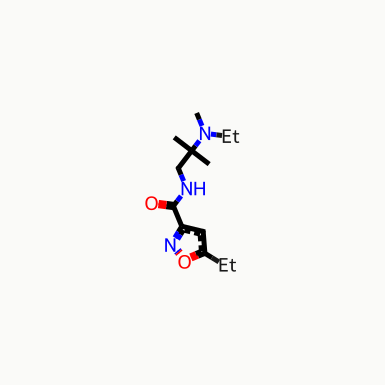 CCc1cc(C(=O)NCC(C)(C)N(C)CC)no1